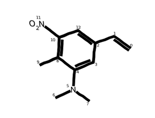 C=Cc1cc(N(C)C)c(C)c([N+](=O)[O-])c1